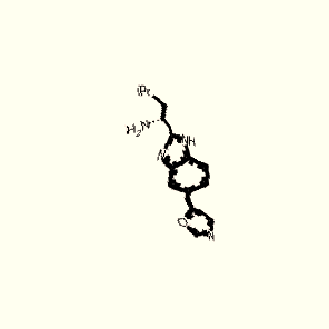 CC(C)C[C@@H](N)c1nc2cc(-c3cnco3)ccc2[nH]1